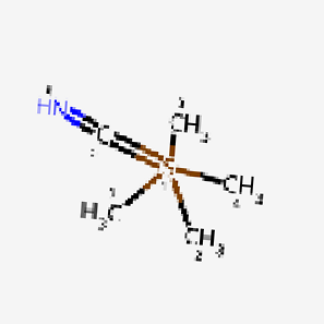 CS(C)(C)(C)=C=N